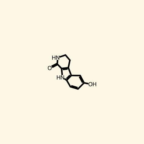 O=C1NCCc2c1[nH]c1ccc(O)cc21